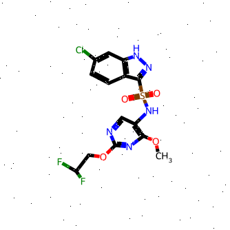 COc1nc(OCC(F)F)ncc1NS(=O)(=O)c1n[nH]c2cc(Cl)ccc12